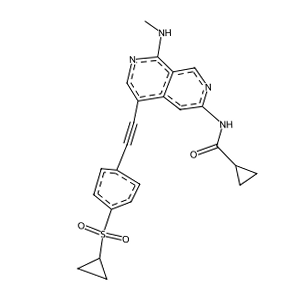 CNc1ncc(C#Cc2ccc(S(=O)(=O)C3CC3)cc2)c2cc(NC(=O)C3CC3)ncc12